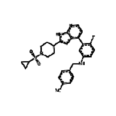 N#Cc1ccc(CNc2ccc(F)c(-c3ccnc4[nH]c(C5CCN(S(=O)(=O)C6CC6)CC5)cc34)c2)cc1